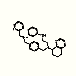 c1ccc(NCCN(Cc2ccc(CNCc3ccccn3)cc2)C2CCCc3cccnc32)cc1